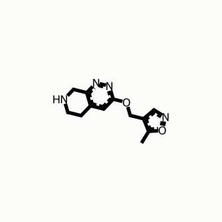 Cc1oncc1COc1cc2c(nn1)CNCC2